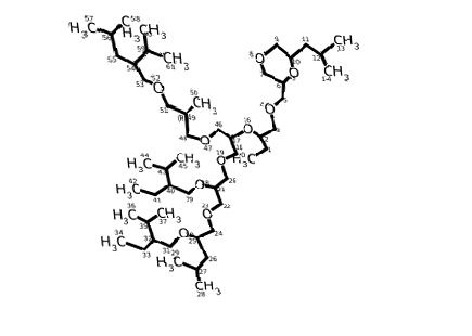 CCC(COCC1COCC(CC(C)C)O1)OC(COCC(COCC(CC(C)C)OCC(CC)C(C)C)OCC(CC)C(C)C)COC[C@H](C)COCC(CC(C)C)C(C)C